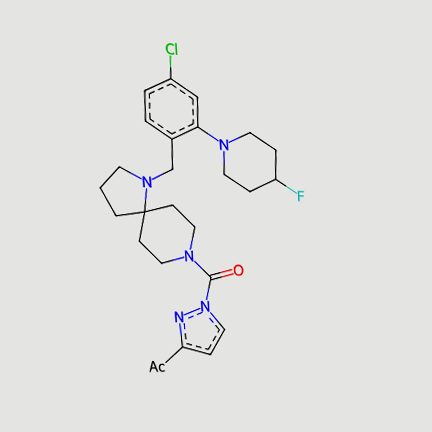 CC(=O)c1ccn(C(=O)N2CCC3(CCCN3Cc3ccc(Cl)cc3N3CCC(F)CC3)CC2)n1